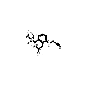 CNS(=O)(=O)Cc1cccc(OCC#N)c1CC(C)C